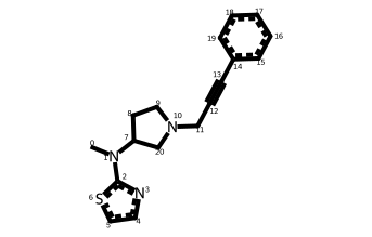 CN(c1nccs1)C1CCN(CC#Cc2ccccc2)C1